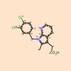 Cc1c(CC(=O)O)c2cccnc2n1Cc1ccc(Cl)c(Cl)c1